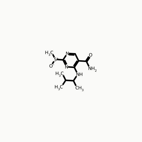 CC(C)C(C)Nc1nc([S+](C)[O-])ncc1C(N)=O